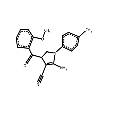 COc1ccccc1C(=O)C1CN(c2ccc(C)cc2)C(N)=C1C#N